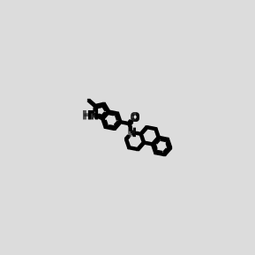 Cc1cc2cc(C(=O)N3CCCC4c5ccccc5CCC43)ccc2[nH]1